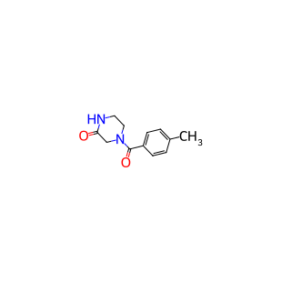 Cc1ccc(C(=O)N2CCNC(=O)C2)cc1